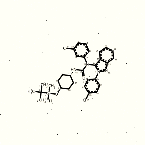 CC(C)(C)[Si](C)(C)O[C@H]1CC[C@H](NC(=O)N(c2cccc(Cl)c2)c2c3ccccc3nn2-c2ccc(Cl)cc2)CC1